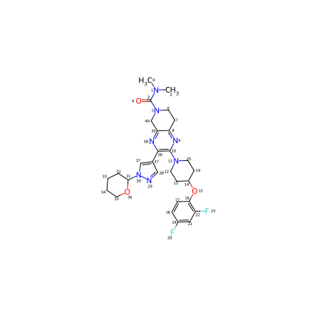 CN(C)C(=O)N1CCc2nc(N3CCC(Oc4ccc(F)cc4F)CC3)c(-c3cnn(C4CCCCO4)c3)nc2C1